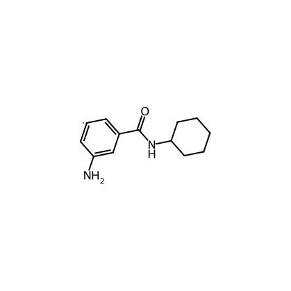 Nc1c[c]cc(C(=O)NC2CCCCC2)c1